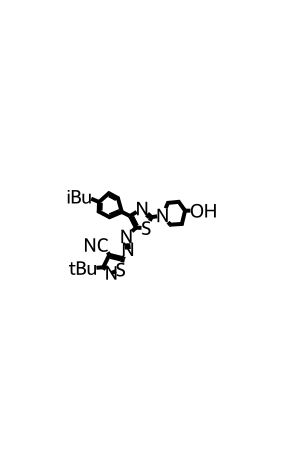 CCC(C)c1ccc(-c2nc(N3CCC(O)CC3)sc2/N=N/c2snc(C(C)(C)C)c2C#N)cc1